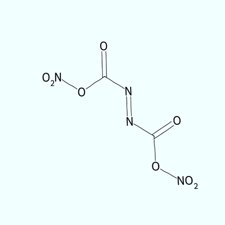 O=C(N=NC(=O)O[N+](=O)[O-])O[N+](=O)[O-]